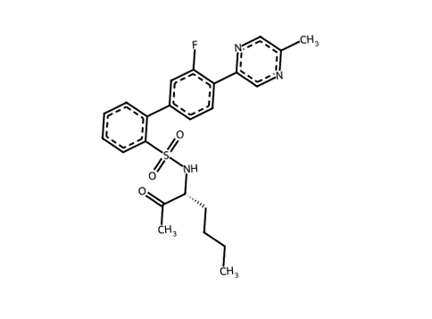 CCCC[C@@H](NS(=O)(=O)c1ccccc1-c1ccc(-c2cnc(C)cn2)c(F)c1)C(C)=O